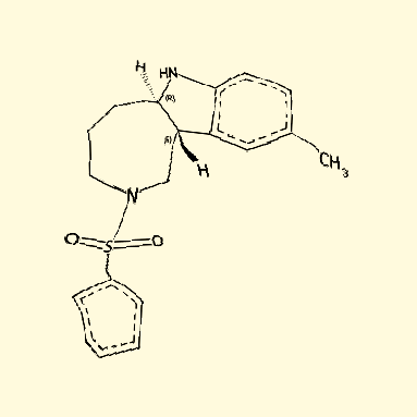 Cc1ccc2c(c1)[C@@H]1CN(S(=O)(=O)c3ccccc3)CCC[C@H]1N2